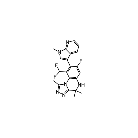 Cc1nnc2n1-c1c(cc(F)c(-c3cn(C)c4ncccc34)c1C(F)F)NC2(C)C